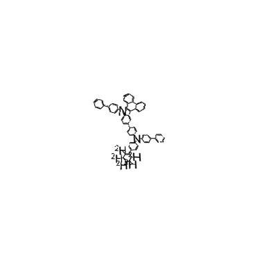 [2H]c1c([2H])c([2H])c(-c2ccc(N(c3ccc(-c4ccccc4)cc3)c3ccc(-c4ccc5c(c4)c4c6ccccc6c6ccccc6c4n5-c4ccc(-c5ccccc5)cc4)cc3)cc2)c([2H])c1[2H]